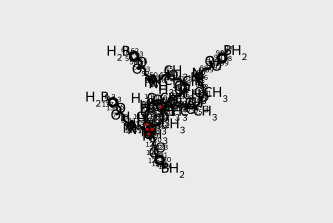 Bc1ccc(OC(=O)CCc2cn(CCC(C)(C)OCCC(C)(C)OCC(C)(C)C(COCCC(C)(C)OC(C)(C)CCOC(C)(C)CCn3cc(CCC(=O)Oc4ccc(B)cc4)nn3)(COCCC(C)(C)OC(C)(C)CCOC(C)(C)CCn3cc(CCC(=O)Oc4ccc(B)cc4)nn3)C(C)(C)OC(C)(C)CCOC(C)(C)CCn3cc(CCC(=O)Oc4ccc(B)cc4)nn3)nn2)cc1